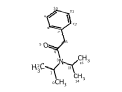 CC(C)N(C(=O)[CH]c1ccccc1)C(C)C